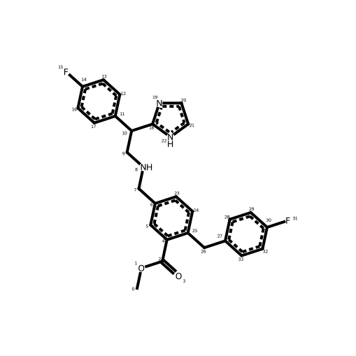 COC(=O)c1cc(CNCC(c2ccc(F)cc2)c2ncc[nH]2)ccc1Cc1ccc(F)cc1